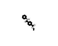 CCOC(=O)c1ccc(C(=S)Nc2ccccc2)cc1